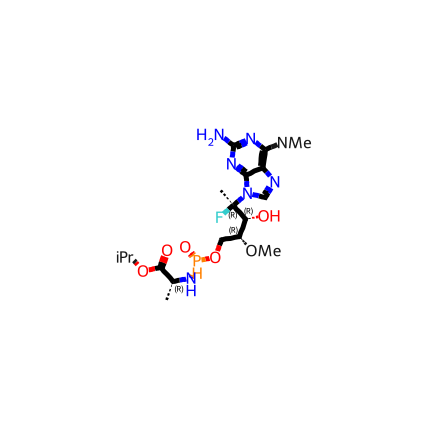 CNc1nc(N)nc2c1ncn2[C@](C)(F)[C@H](O)[C@@H](CO[PH](=O)N[C@H](C)C(=O)OC(C)C)OC